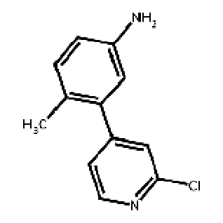 Cc1ccc(N)cc1-c1ccnc(Cl)c1